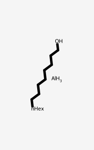 CCCCCCCCCCCCCCO.[AlH3]